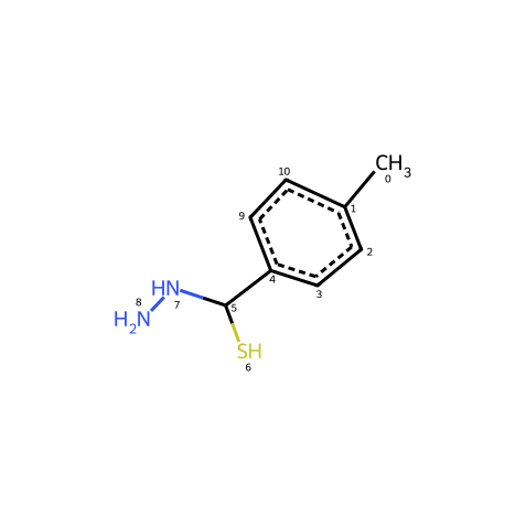 Cc1ccc(C(S)NN)cc1